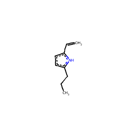 C=Cc1ccc(CCC)[nH]1